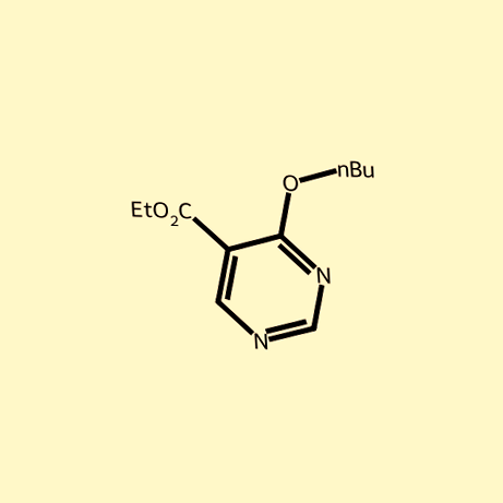 CCCCOc1ncncc1C(=O)OCC